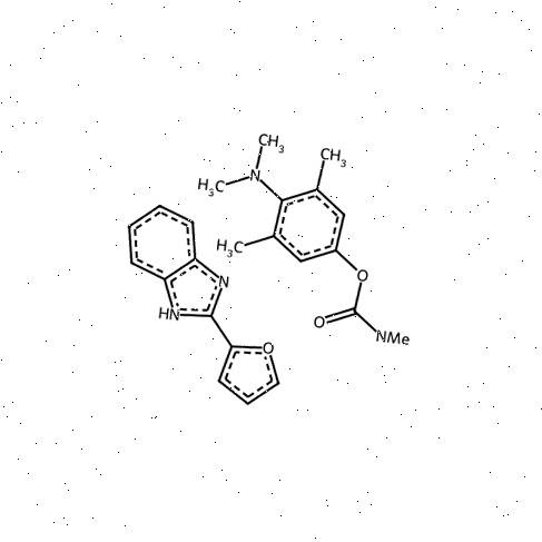 CNC(=O)Oc1cc(C)c(N(C)C)c(C)c1.c1coc(-c2nc3ccccc3[nH]2)c1